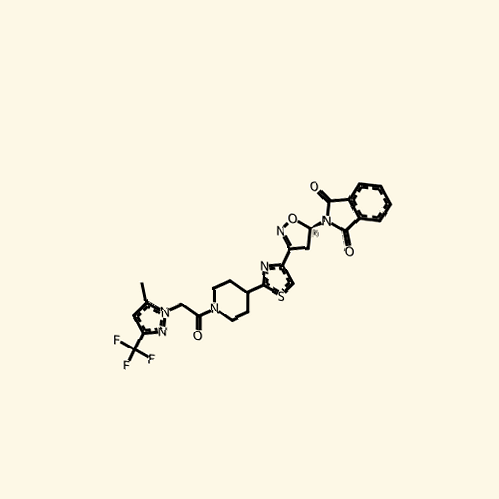 Cc1cc(C(F)(F)F)nn1CC(=O)N1CCC(c2nc(C3=NO[C@@H](N4C(=O)c5ccccc5C4=O)C3)cs2)CC1